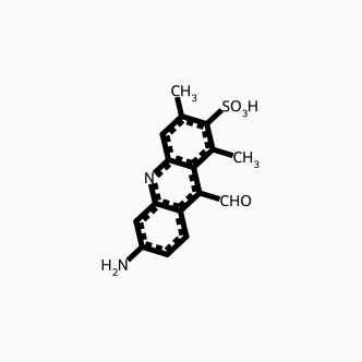 Cc1cc2nc3cc(N)ccc3c(C=O)c2c(C)c1S(=O)(=O)O